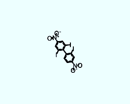 O=[N+]([O-])c1ccc(-c2c(I)cc([N+](=O)[O-])cc2I)c(I)c1